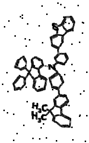 CC1(C)c2ccccc2-c2ccc(-c3ccc(N(c4cccc(-c5ccc6sc7ccccc7c6c5)c4)c4cccc5c4-c4ccccc4C5(c4ccccc4)c4ccccc4)cc3)cc21